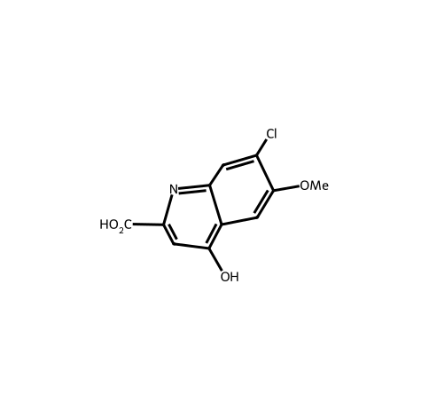 COc1cc2c(O)cc(C(=O)O)nc2cc1Cl